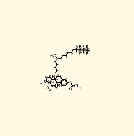 CC(=O)Oc1ccc2c(c1)C[C@@H](CCCCCN(C)CCCCCCC(F)(F)C(F)(F)C(F)(F)C(F)(F)F)[C@@H]1[C@@H]2[C@@H](F)C[C@]2(C)[C@@H](O)CC[C@@H]12